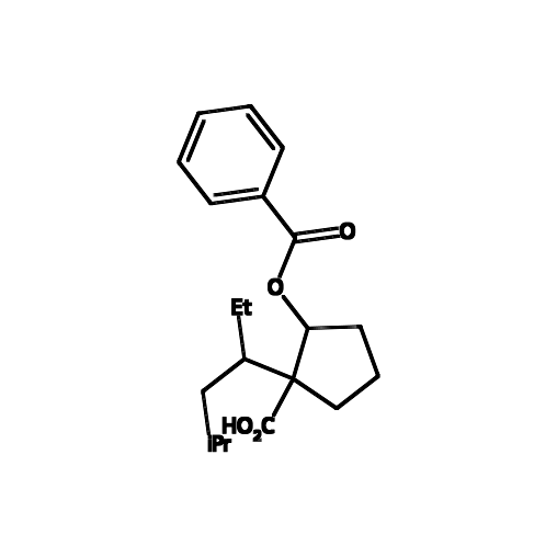 CCC(CC(C)C)C1(C(=O)O)CCCC1OC(=O)c1ccccc1